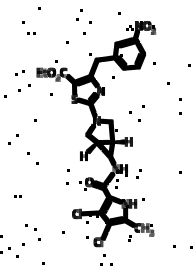 CCOC(=O)c1sc(N2C[C@@H]3C(NC(=O)c4[nH]c(C)c(Cl)c4Cl)[C@@H]3C2)nc1Cc1cccc([N+](=O)[O-])c1